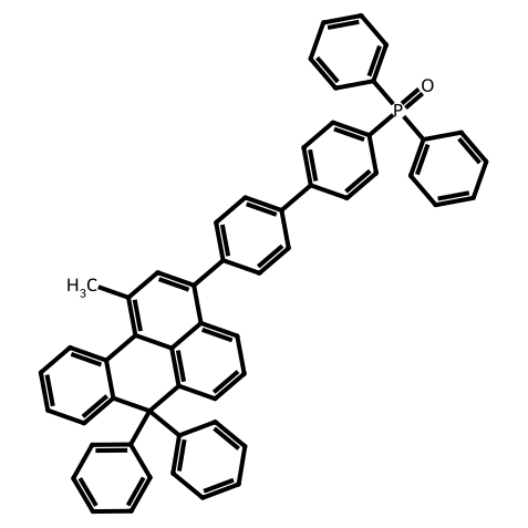 Cc1cc(-c2ccc(-c3ccc(P(=O)(c4ccccc4)c4ccccc4)cc3)cc2)c2cccc3c2c1-c1ccccc1C3(c1ccccc1)c1ccccc1